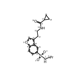 CC(C)NS(=O)(=O)c1ccc2occ(CCNC(=O)C3CC3)c2c1